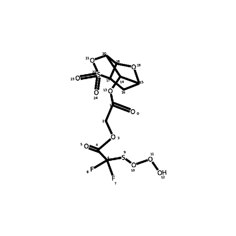 O=C(COC(=O)C(F)(F)SOOO)OC1C2CC3C(O2)C1OS3(=O)=O